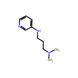 CN(C)CCCNc1[c]nccc1